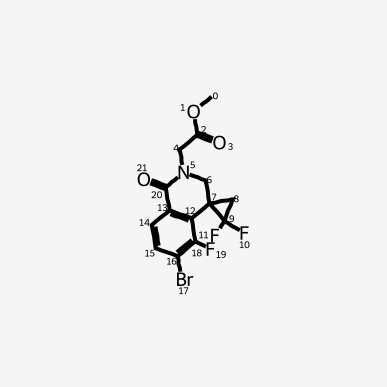 COC(=O)CN1CC2(CC2(F)F)c2c(ccc(Br)c2F)C1=O